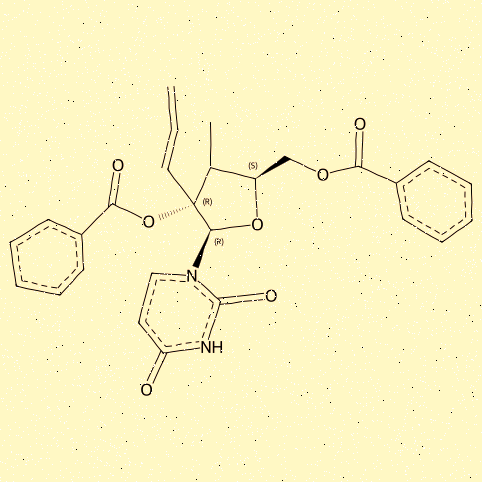 C=C=C[C@@]1(OC(=O)c2ccccc2)C(C)[C@@H](COC(=O)c2ccccc2)O[C@H]1n1ccc(=O)[nH]c1=O